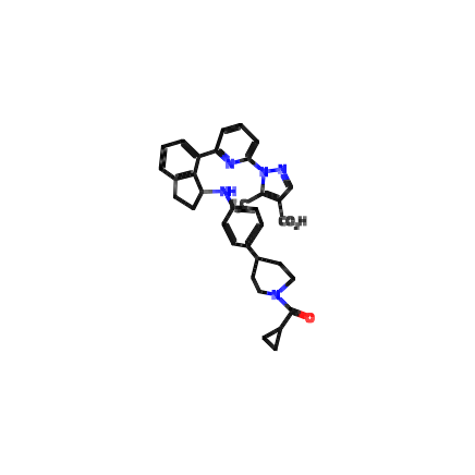 O=C(O)c1cnn(-c2cccc(-c3cccc4c3C(Nc3ccc(C5CCN(C(=O)C6CC6)CC5)cc3)CC4)n2)c1C(F)(F)F